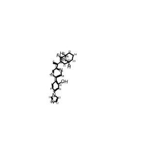 C=C(c1cnc(-c2ccc(-n3ccnc3)cc2O)cn1)[C@@H]1C[C@H]2CCC[C@H](N2)[C@@H]1F